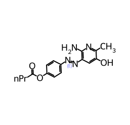 CCCC(=O)Oc1ccc(/N=N/c2cc(O)c(C)nc2N)cc1